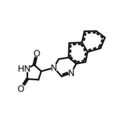 O=C1CC(N2C=Nc3cc4ccccc4cc3C2)C(=O)N1